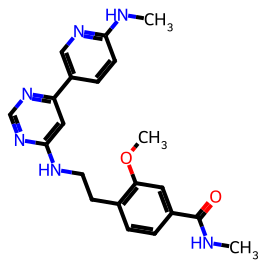 CNC(=O)c1ccc(CCNc2cc(-c3ccc(NC)nc3)ncn2)c(OC)c1